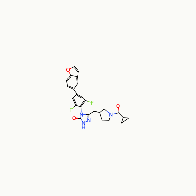 O=C(C1CC1)N1CC[C@@H](Cc2n[nH]c(=O)n2-c2c(F)cc(-c3ccc4occc4c3)cc2F)C1